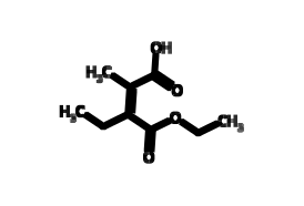 CCOC(=O)C(CC)=C(C)C(=O)O